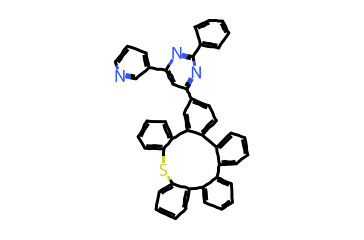 c1ccc(-c2nc(-c3cccnc3)cc(-c3ccc4c(c3)-c3ccccc3Sc3ccccc3-c3ccccc3-c3ccccc3-4)n2)cc1